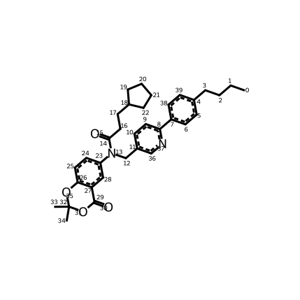 CCCCc1ccc(-c2ccc(CN(C(=O)CCC3CCCC3)c3ccc4c(c3)C(=O)OC(C)(C)O4)cn2)cc1